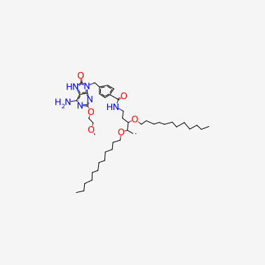 [CH2]C(OCCCCCCCCCCCC)C(CCNC(=O)c1ccc(Cn2c(=O)[nH]c3c(N)nc(OCCOC)nc32)cc1)OCCCCCCCCCCCC